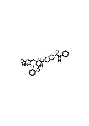 O=C1NC(=O)/C(=C\c2cc(Oc3ccccc3)nc(N3CC4CN(C(=O)Nc5ccccc5)CC4C3)n2)S1